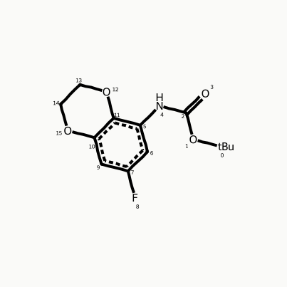 CC(C)(C)OC(=O)Nc1cc(F)cc2c1OCCO2